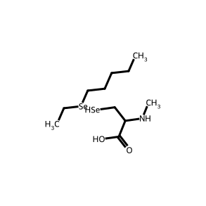 CCCCC[Se]CC.CNC(C[SeH])C(=O)O